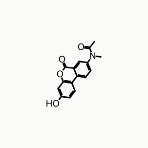 CC(=O)N(C)c1ccc2c(c1)c(=O)oc1cc(O)ccc12